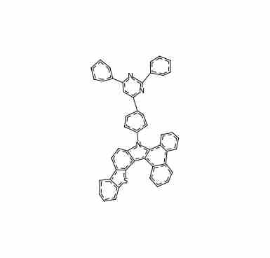 c1ccc(-c2cc(-c3ccc(-n4c5ccc6c7ccccc7sc6c5c5c6ccccc6c6ccccc6c54)cc3)nc(-c3ccccc3)n2)cc1